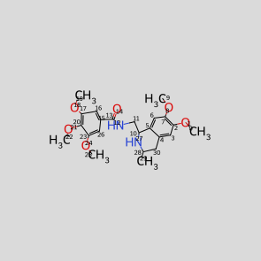 COc1cc2c(cc1OC)C(CNC(=O)c1cc(OC)c(OC)c(OC)c1)NC(C)C2